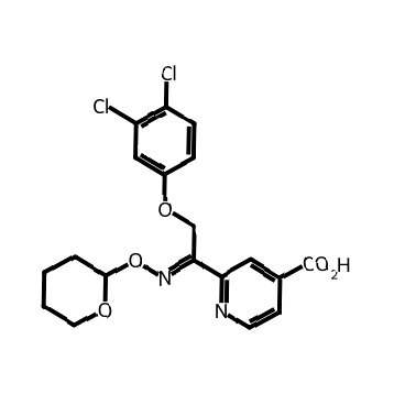 O=C(O)c1ccnc(/C(COc2ccc(Cl)c(Cl)c2)=N/OC2CCCCO2)c1